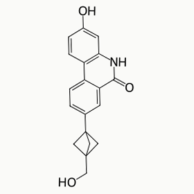 O=c1[nH]c2cc(O)ccc2c2ccc(C34CC(CO)(C3)C4)cc12